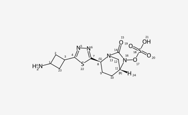 NC1CC(c2nnc([C@@H]3CC[C@@H]4CN3C(=O)N4OS(=O)(=O)O)s2)C1